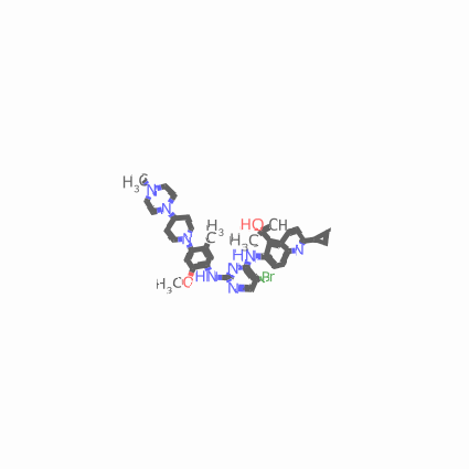 COc1cc(N2CCC(N3CCN(C)CC3)CC2)c(C)cc1Nc1ncc(Br)c(Nc2ccc3nc(C4CC4)ccc3c2C(C)(C)O)n1